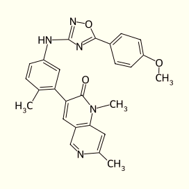 COc1ccc(-c2nc(Nc3ccc(C)c(-c4cc5cnc(C)cc5n(C)c4=O)c3)no2)cc1